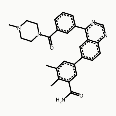 Cc1cc(-c2ccc3ncnc(-c4cccc(C(=O)N5CCN(C)CC5)c4)c3c2)cc(C(N)=O)c1C